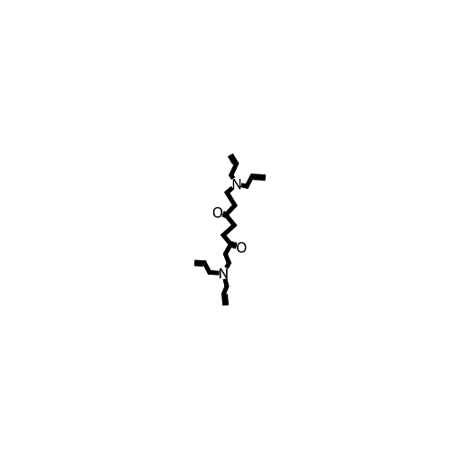 C=CCN(CC=C)CCC(=O)CCC(=O)CCN(CC=C)CC=C